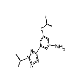 CC(C)Oc1cc(N)cc(-c2nnn(C(C)C)n2)c1